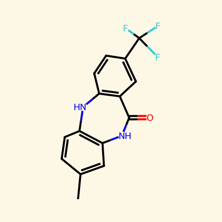 Cc1ccc2c(c1)NC(=O)c1cc(C(F)(F)F)ccc1N2